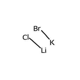 [K][Br].[Li][Cl]